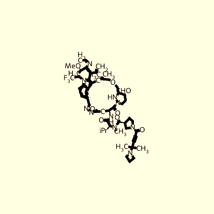 C=C/C(=C(\N=C/C)[C@H](C)OC)c1c2c3cc(ccc3n1CC(F)(F)F)-c1nnc(o1)C[C@H](NC(=O)[C@H](C(C)C)N(C)C(=O)[C@H]1CCN(C(=O)C#CC(C)(C)N3CCC3)C1)C(=O)N1CCC[C@](C=O)(COCC(C)(C)C2)N1